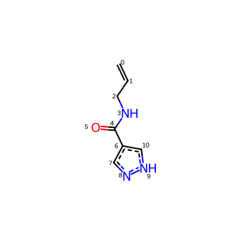 C=CCNC(=O)c1cn[nH]c1